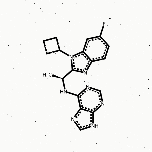 C[C@H](Nc1ncnc2[nH]cnc12)c1nc2ccc(F)cc2n1C1CCC1